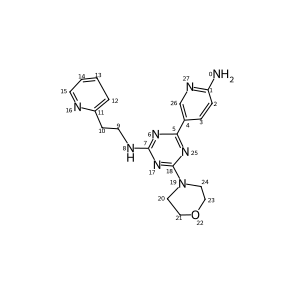 Nc1ccc(-c2nc(NCCc3ccccn3)nc(N3CCOCC3)n2)cn1